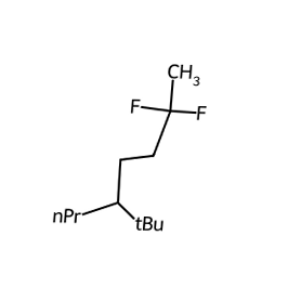 CCCC(CCC(C)(F)F)C(C)(C)C